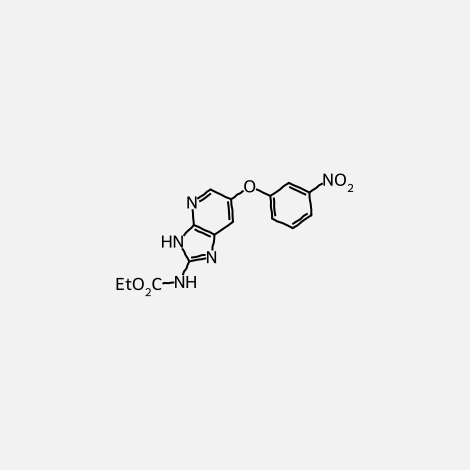 CCOC(=O)Nc1nc2cc(Oc3cccc([N+](=O)[O-])c3)cnc2[nH]1